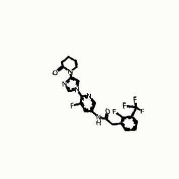 O=C(Cc1cccc(C(F)(F)F)c1F)Nc1cnc(-n2cnc(N3CCCCC3=O)c2)c(F)c1